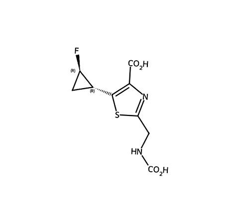 O=C(O)NCc1nc(C(=O)O)c([C@@H]2C[C@H]2F)s1